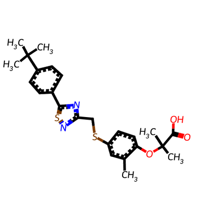 Cc1cc(SCc2nsc(-c3ccc(C(C)(C)C)cc3)n2)ccc1OC(C)(C)C(=O)O